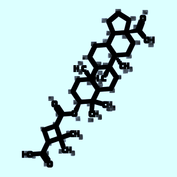 CC1(C)C(C(=O)O)CC1C(=O)O[C@H]1CC[C@@]2(C)C(CC[C@]3(C)C2CCC2C4CCC[C@]4(C(=O)O)CC[C@]23C)C1(C)C